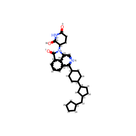 O=C1CCC(N2C(=O)c3cccc4c(C5CCC(C6CCC(CC7CCCC7)C6)CC5)ncc2c34)C(=O)N1